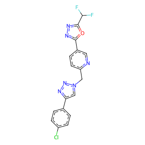 FC(F)c1nnc(-c2ccc(Cn3cc(-c4ccc(Cl)cc4)nn3)nc2)o1